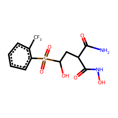 NC(=O)C(CC(O)S(=O)(=O)c1ccccc1C(F)(F)F)C(=O)NO